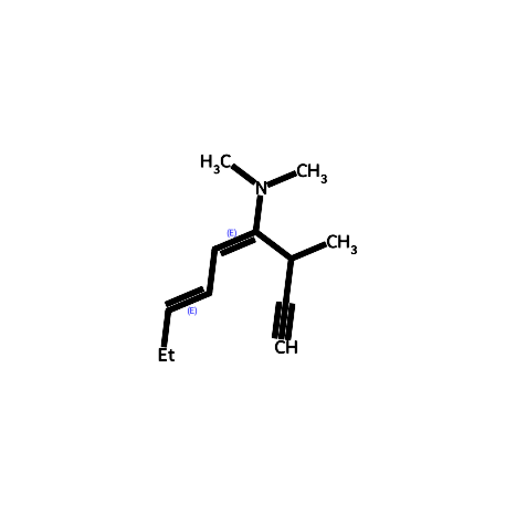 C#CC(C)/C(=C\C=C\CC)N(C)C